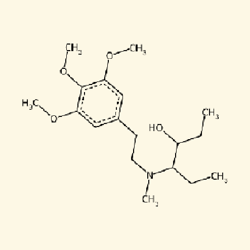 CCC(O)C(CC)N(C)CCc1cc(OC)c(OC)c(OC)c1